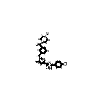 Cc1cc(-c2nc(-c3ccc(Cl)cc3)no2)nn1Cc1cccc(C(=O)N2CCN(C)CC2)c1